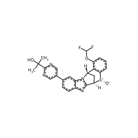 CC(C)(O)c1ncc(-c2ccc3nc4n(c3c2)[C@H]2C[C@H]4[S@@+]([O-])c3cccc(OC(F)F)c32)cn1